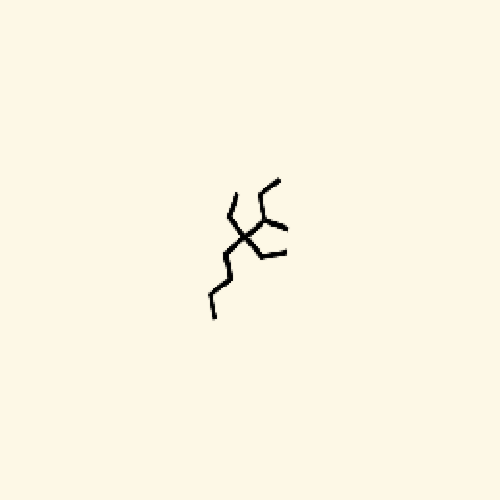 CCCCC(CC)(CC)C(C)CC